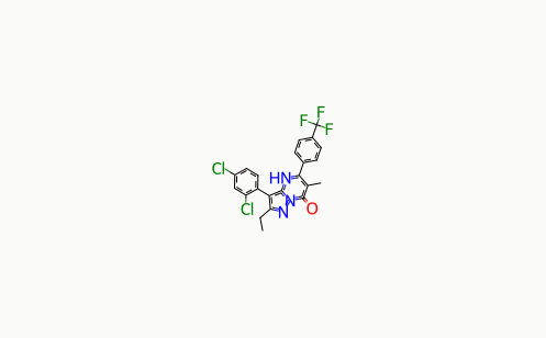 CCc1nn2c(=O)c(C)c(-c3ccc(C(F)(F)F)cc3)[nH]c2c1-c1ccc(Cl)cc1Cl